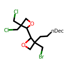 CCCCCCCCCCCCC1(CBr)COC1C1OCC1(CCl)CCl